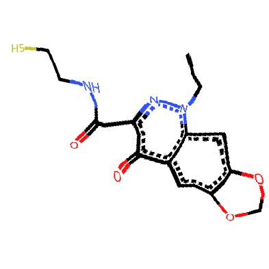 CCn1nc(C(=O)NCCS)c(=O)c2cc3c(cc21)OCO3